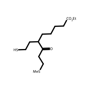 CCOC(=O)CCCCC(CCS)C(=O)CCSC